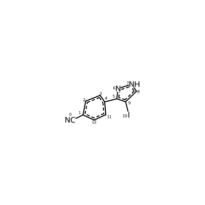 N#Cc1ccc(-c2n[nH]cc2I)cc1